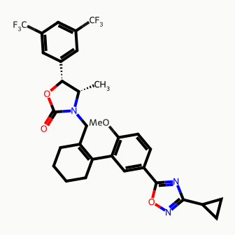 COc1ccc(-c2nc(C3CC3)no2)cc1C1=C(CN2C(=O)O[C@H](c3cc(C(F)(F)F)cc(C(F)(F)F)c3)[C@@H]2C)CCCC1